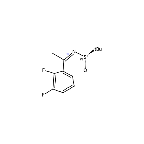 C/C(=N/[S@+]([O-])C(C)(C)C)c1cccc(F)c1F